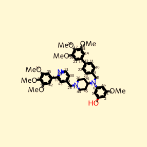 COc1cc(O)cc(N(Cc2ccc(-c3cc(OC)c(OC)c(OC)c3)cc2)C2CCN(Cc3ccnc(-c4cc(OC)c(OC)c(OC)c4)c3)CC2)c1